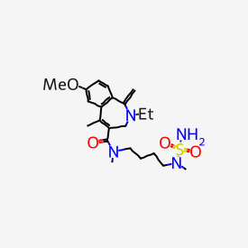 C=C1c2ccc(OC)cc2C(C)=C(C(=O)N(C)CCCCN(C)S(N)(=O)=O)CN1CC